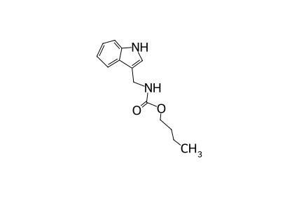 CCCCOC(=O)NCc1c[nH]c2ccccc12